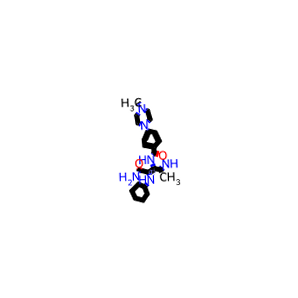 CC(=N)/C(NC(=O)c1ccc(N2CCN(C)CC2)cc1)=C(\NC1CCCCC1)C(N)=O